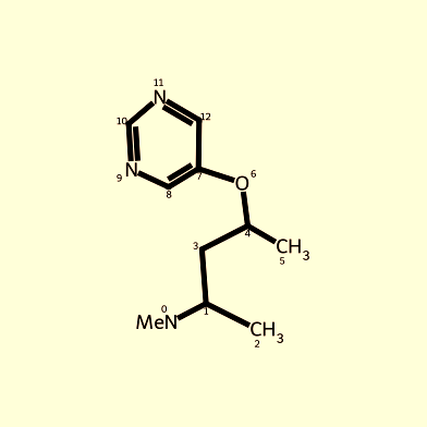 CNC(C)CC(C)Oc1cncnc1